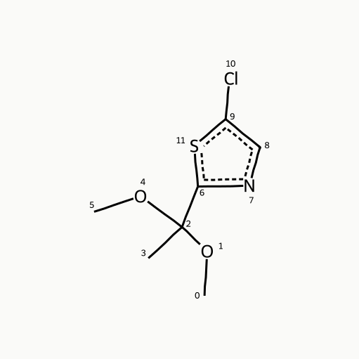 COC(C)(OC)c1ncc(Cl)s1